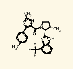 Cc1ccc(-c2sc(C)nc2C(=O)N2CC[C@H](C)[C@H]2c2nc3c(C(F)(F)F)cccc3[nH]2)cc1